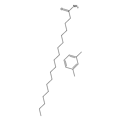 CCCCCCCCCCCCCCCCCC(N)=O.Cc1cccc(C)c1